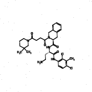 Cc1c(Cl)ccc(NC(=O)[C@H](CCN)NC(=O)[C@@H]2Cc3ccccc3CN2C(=O)CCC(=O)N2CCCC(C)(C)C2)c1Cl